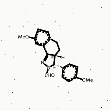 COc1ccc([C@H]2[C@H]3CCc4ccc(OC)cc4C3=NN2C=O)cc1